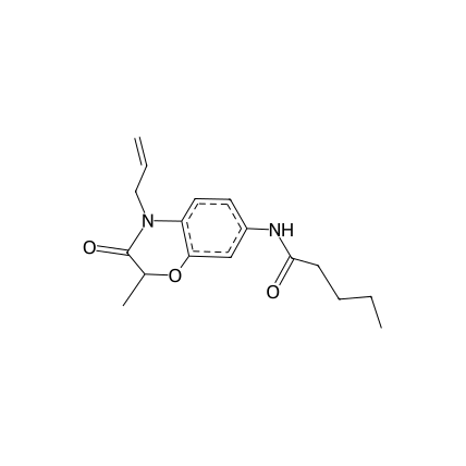 C=CCN1C(=O)C(C)Oc2cc(NC(=O)CCCC)ccc21